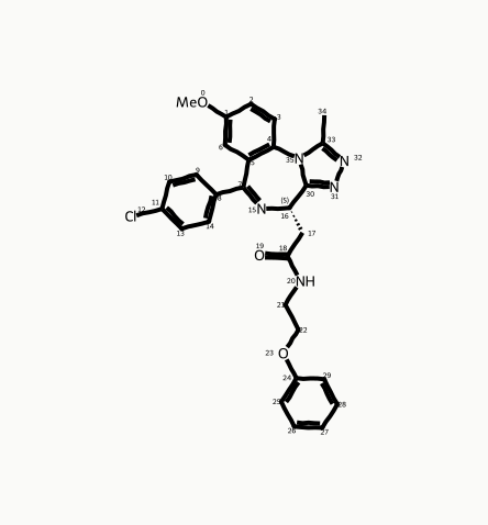 COc1ccc2c(c1)C(c1ccc(Cl)cc1)=N[C@@H](CC(=O)NCCOc1ccccc1)c1nnc(C)n1-2